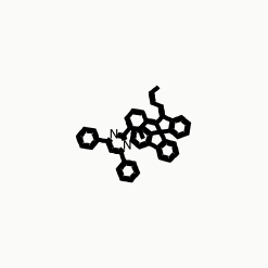 C\C=C/C=C1\C(=C2/C=CC=C(c3nc(-c4ccccc4)cc(-c4ccccc4)n3)C2C)C2(c3ccccc31)c1ccccc1-c1ccccc12